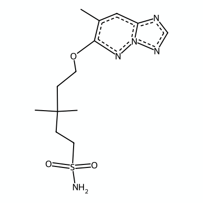 Cc1cc2ncnn2nc1OCCC(C)(C)CCS(N)(=O)=O